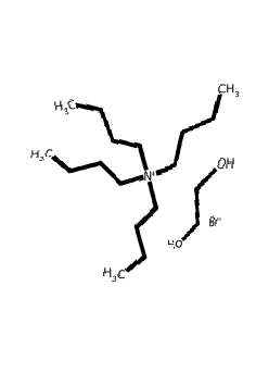 CCCC[N+](CCCC)(CCCC)CCCC.OCCO.[Br-]